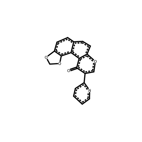 O=c1c(-c2ccccn2)coc2ccc3ccc4c(c3c12)OCO4